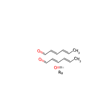 CC=CC=CC=O.CC=CC=CC=O.[C]=O.[Ru]